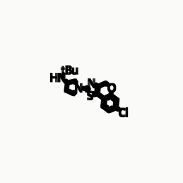 CC(C)(C)NC1CCN(c2nc3c(s2)-c2ccc(Cl)cc2OC3)C1